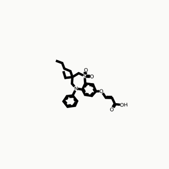 CCCCC1(CC)CN(c2ccccc2)c2ccc(OC=CC(=O)O)cc2S(=O)(=O)C1